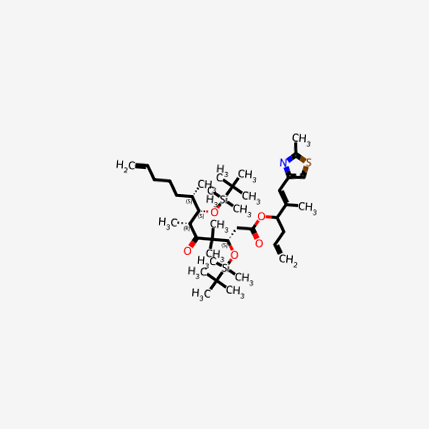 C=CCCC[C@H](C)[C@H](O[Si](C)(C)C(C)(C)C)[C@@H](C)C(=O)C(C)(C)[C@H](CC(=O)OC(CC=C)C(C)=Cc1csc(C)n1)O[Si](C)(C)C(C)(C)C